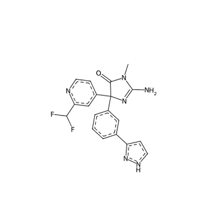 CN1C(=O)C(c2cccc(-c3cc[nH]n3)c2)(c2ccnc(C(F)F)c2)N=C1N